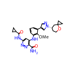 COc1c(Nc2cc(NC(=O)C3CC3)nnc2C(N)=O)cccc1-c1cnn([C@H]2CCOC3(CC3)C2)c1